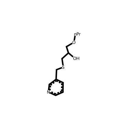 CCCOCC(O)CSCc1cccnc1